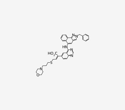 O=C(O)C(=CCSCCCN1CCOCC1)c1ccc2ncnc(Nc3cc4cn(Cc5ccccc5)nc4c4ccccc34)c2c1